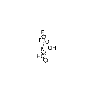 Cl.O=C(CCCN1CCC(O)(Cc2ccccc2)CC1)c1ccc(F)cc1F